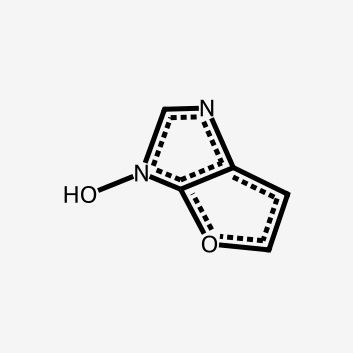 On1cnc2ccoc21